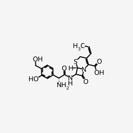 C/C=C\C1=C(C(=O)O)N2C(=O)C(NC(=O)[C@H](N)c3ccc(CO)c(O)c3)[C@@H]2SC1